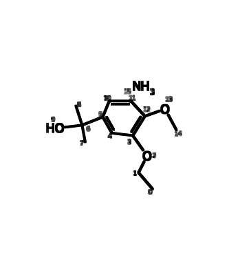 CCOc1cc(C(C)(C)O)ccc1OC.N